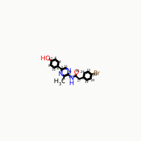 Cc1nc(-c2ccc(O)cc2)cnc1NC(=O)Cc1ccc(Br)cc1